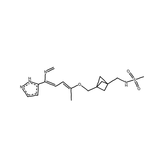 C=N/C(=C\C=C(/C)OCC12CC(CNS(C)(=O)=O)(C1)C2)c1ccn[nH]1